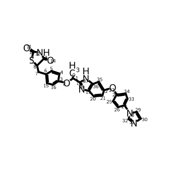 CC(Oc1ccc(CC2SC(=O)NC2=O)cc1)c1nc2ccc(Oc3ccc(-n4ccnc4)cc3)cc2[nH]1